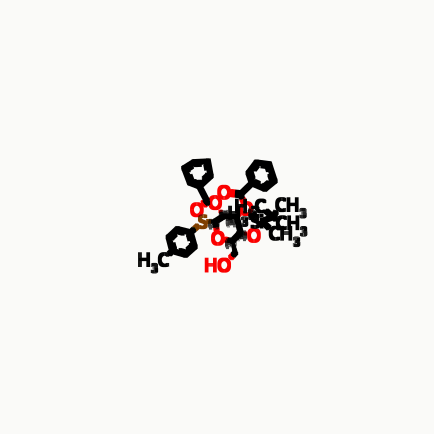 Cc1ccc(S[C@@H]2O[C@H](CO)[C@@H](O[Si](C)(C)C(C)(C)C)[C@H](OC(=O)c3ccccc3)[C@H]2OC(=O)c2ccccc2)cc1